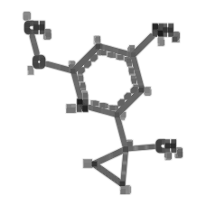 COc1cc(N)cc(C2(C)CC2)n1